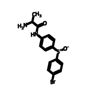 CC(N)C(=O)Nc1ccc([S+]([O-])c2ccc(Br)cc2)cc1